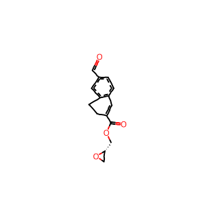 O=Cc1ccc2c(c1)CCC(C(=O)OC[C@@H]1CO1)=C2